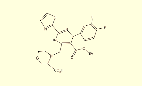 CC(C)OC(=O)C1=C(CN2CCOCC2C(=O)O)NC(c2nccs2)=NC1c1ccc(F)c(F)c1